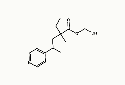 CCC(C)(CC(C)c1ccncc1)C(=O)OCO